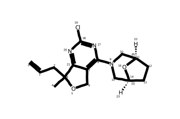 C=CCC1(C)OCc2c(N3C[C@H]4CC[C@@H](C3)O4)nc(Cl)nc21